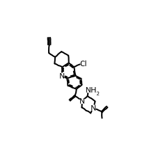 C#CCC1CCc2c(nc3cc(C(=C)N4CCN(C(=C)C)CC4N)ccc3c2Cl)C1